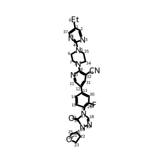 CCc1cnc(N2CCN(c3ncc(-c4ccc(-n5cnn([C@@H]6CCOC6)c5=O)c(F)c4)cc3C#N)CC2)nc1